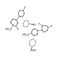 CCCCCCCC[C@H]1CC[C@H](c2cc(-c3ccc(F)cc3F)ccc2C(=O)O)CC1.CC[C@H]1CC[C@H](c2c(-c3ccc(F)cc3)ccc(C(=O)O)c2F)CC1